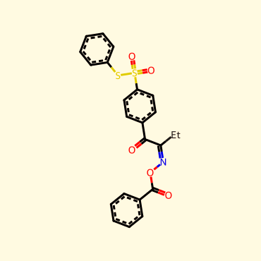 CCC(=NOC(=O)c1ccccc1)C(=O)c1ccc(S(=O)(=O)Sc2ccccc2)cc1